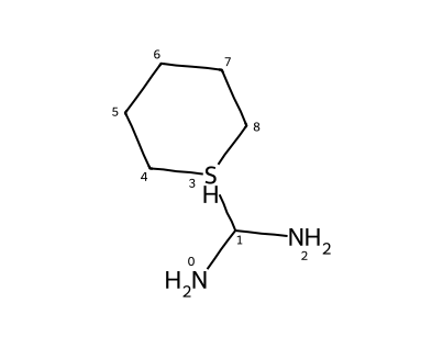 NC(N)[SH]1CCCCC1